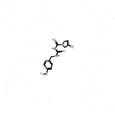 CC1=CCN(C(=N)NC(=N)NCc2ccc(OC(F)(F)F)cc2)C1